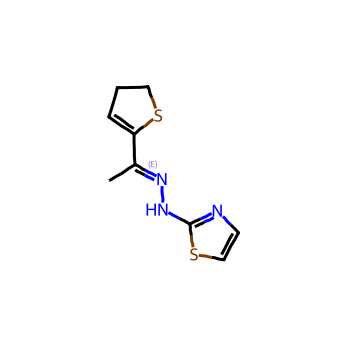 C/C(=N\Nc1nccs1)C1=CCCS1